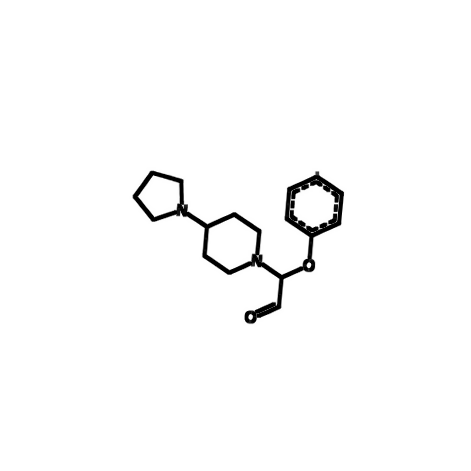 O=CC(Oc1cc[c]cc1)N1CCC(N2CCCC2)CC1